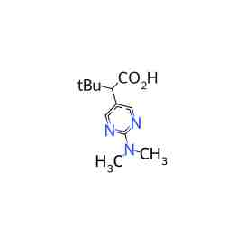 CN(C)c1ncc(C(C(=O)O)C(C)(C)C)cn1